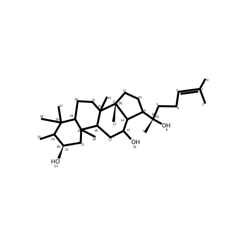 CC(C)=CCC[C@](C)(O)C1CC[C@]2(C)C1C(O)CC1C3(C)C[C@@H](O)C(C)C(C)(C)C3CCC12C